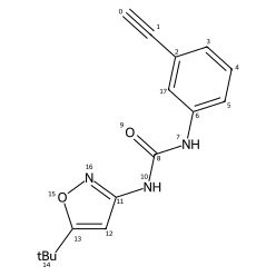 C#Cc1cccc(NC(=O)Nc2cc(C(C)(C)C)on2)c1